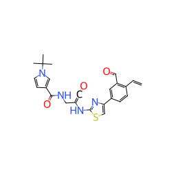 C=Cc1ccc(-c2csc(NC(=C=O)CNC(=O)c3ccn(C(C)(C)C)c3)n2)cc1C=O